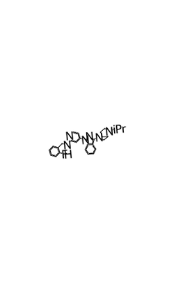 CC(C)N1CC2CC1CN2c1nn(-c2ccnc(NCc3ccccc3F)c2)c2ccccc12